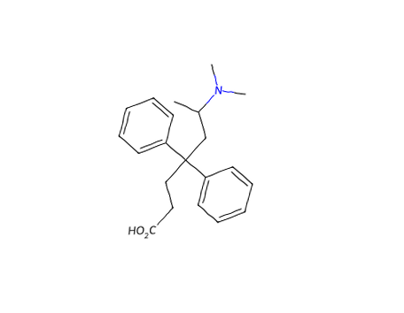 CC(CC(CCC(=O)O)(c1ccccc1)c1ccccc1)N(C)C